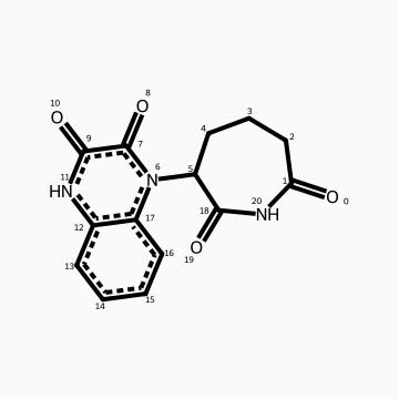 O=C1CCCC(n2c(=O)c(=O)[nH]c3ccccc32)C(=O)N1